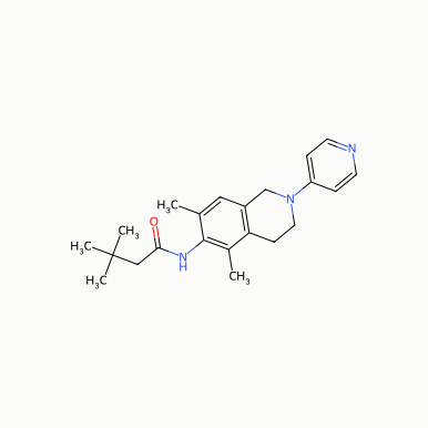 Cc1cc2c(c(C)c1NC(=O)CC(C)(C)C)CCN(c1ccncc1)C2